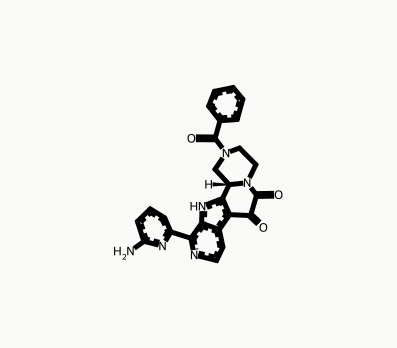 Nc1cccc(-c2nccc3c4c([nH]c23)[C@@H]2CN(C(=O)c3ccccc3)CCN2C(=O)C4=O)n1